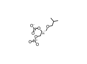 CC(C)COC[C@H](CO[N+](=O)[O-])O[N+](=O)[O-]